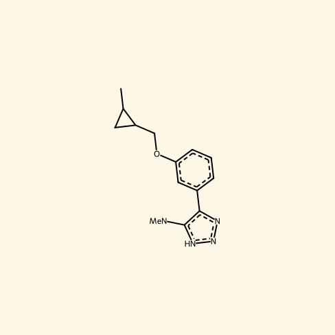 CNc1[nH]nnc1-c1cccc(OCC2CC2C)c1